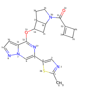 Cc1ncc(-c2cn3nccc3c(OC3CC4C3CCN4C(=O)C3=CCC3)n2)s1